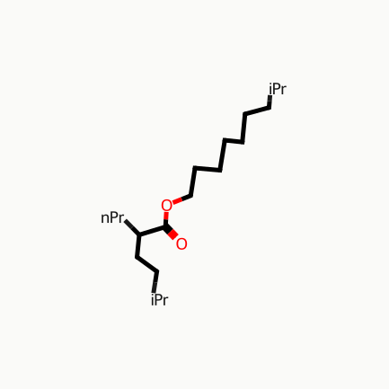 CCCC(CCC(C)C)C(=O)OCCCCCCCC(C)C